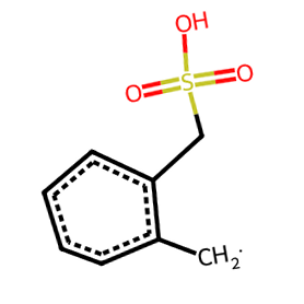 [CH2]c1ccccc1CS(=O)(=O)O